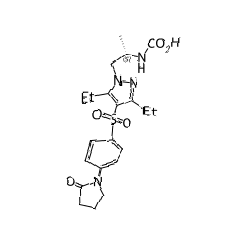 CCc1nn(C[C@H](C)NC(=O)O)c(CC)c1S(=O)(=O)c1ccc(N2CCCC2=O)cc1